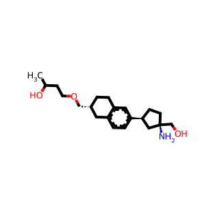 CC(O)CCOC[C@@H]1CCc2cc([C@H]3CC[C@](N)(CO)C3)ccc2C1